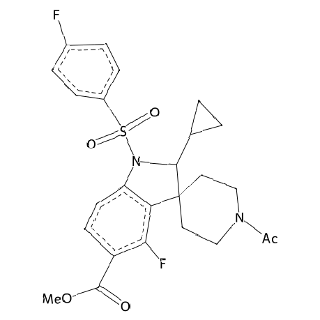 COC(=O)c1ccc2c(c1F)C1(CCN(C(C)=O)CC1)C(C1CC1)N2S(=O)(=O)c1ccc(F)cc1